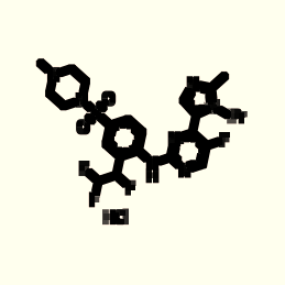 Cc1ncc(-c2nc(Nc3ccc(S(=O)(=O)N4CCN(C)CC4)cc3C(F)C(F)F)ncc2F)n1C(C)C.Cl